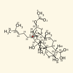 CC(=O)O[C@H]1C[C@@]2(C)[C@@H]3C[C@@H](O)C4[C@@]5(C)CC[C@](O)(CCC(CCC=C(C)C)=C13)[C@@H](C(=O)O)C5CC[C@]42C